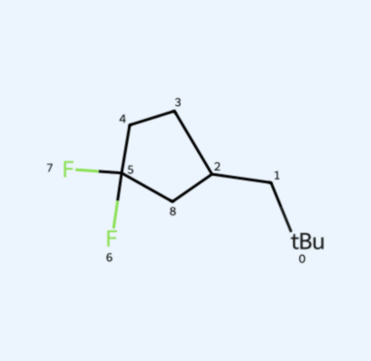 CC(C)(C)CC1CCC(F)(F)C1